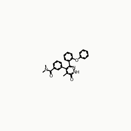 Cc1c(-c2cccc(C(=O)N(C)C)c2)c(-c2ccccc2Oc2ccccc2)n[nH]c1=O